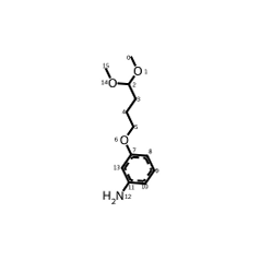 COC(CCCOc1cccc(N)c1)OC